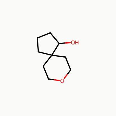 OC1CCCC12CCOCC2